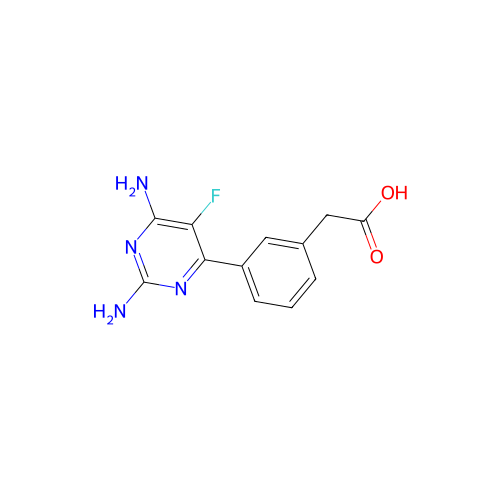 Nc1nc(N)c(F)c(-c2cccc(CC(=O)O)c2)n1